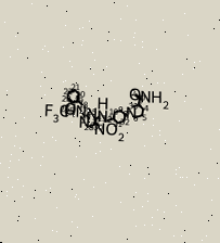 NC(=O)C1CCCN(C2CCC(CNc3nc(NCc4ccccc4OC(F)(F)F)ncc3[N+](=O)[O-])CC2)C1